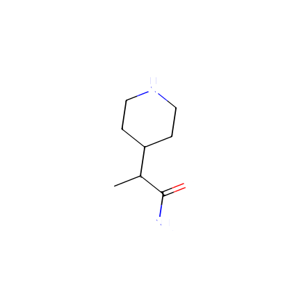 C[C](C(N)=O)C1CCNCC1